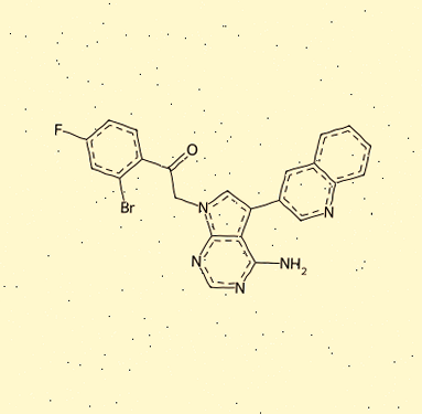 Nc1ncnc2c1c(-c1cnc3ccccc3c1)cn2CC(=O)c1ccc(F)cc1Br